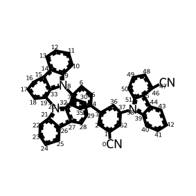 N#Cc1cc(-c2ccc(-n3c4ccccc4c4cccc(-n5c6ccccc6c6ccccc65)c43)cc2)cc(-n2c3ccccc3c3c(C#N)cccc32)c1